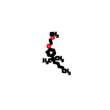 CCCCCC(C)(C)c1c[c]c(OCCOC)cc1